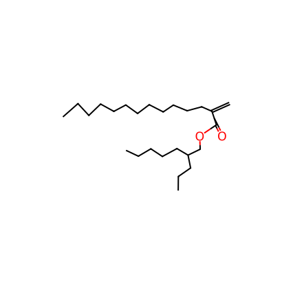 C=C(CCCCCCCCCCCC)C(=O)OCC(CCC)CCCCC